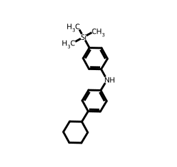 C[Si](C)(C)c1ccc(Nc2ccc(C3CCCCC3)cc2)cc1